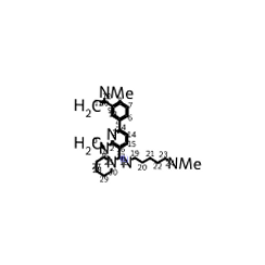 C=Nc1nc(-c2cccc(C(=C)NC)c2)ccc1/C(=N\CCCCCNC)N1CCCCC1